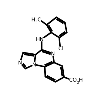 Cc1cccc(Cl)c1Nc1nc2cc(C(=O)O)ccc2n2cncc12